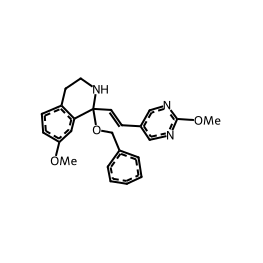 COc1ccc2c(c1)C(C=Cc1cnc(OC)nc1)(OCc1ccccc1)NCC2